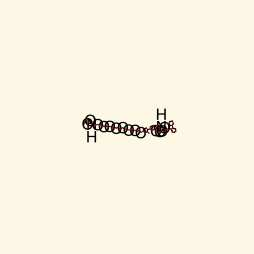 COC(=O)[C@H](Cc1ccc(-c2ccc(OCCOCCOCCOCCOCCOCCOCCOCCNC(=O)OC(C)(C)C)cc2C)cc1)NC(=O)OCC1c2ccccc2-c2ccccc21